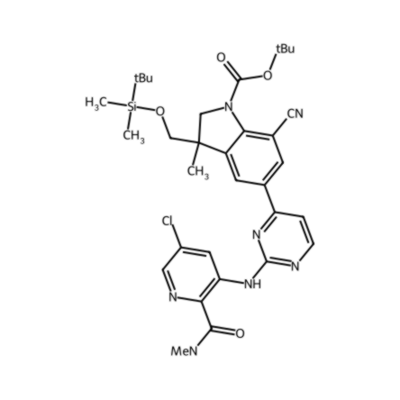 CNC(=O)c1ncc(Cl)cc1Nc1nccc(-c2cc(C#N)c3c(c2)C(C)(CO[Si](C)(C)C(C)(C)C)CN3C(=O)OC(C)(C)C)n1